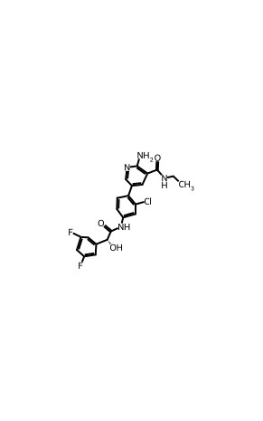 CCNC(=O)c1cc(-c2ccc(NC(=O)[C@H](O)c3cc(F)cc(F)c3)cc2Cl)cnc1N